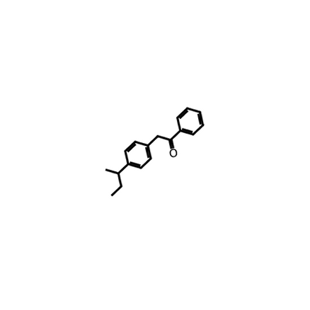 CCC(C)c1ccc(CC(=O)c2ccccc2)cc1